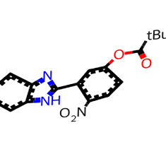 CC(C)(C)C(=O)Oc1ccc([N+](=O)[O-])c(-c2nc3ccccc3[nH]2)c1